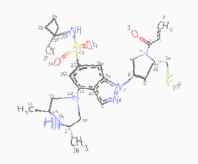 C=CC(=O)N1C[C@H](n2ncc3c(N4C[C@H](C)N[C@@H](C)C4)cc(S(=O)(=O)NC4(C#N)CC4)cc32)C[C@H]1CF